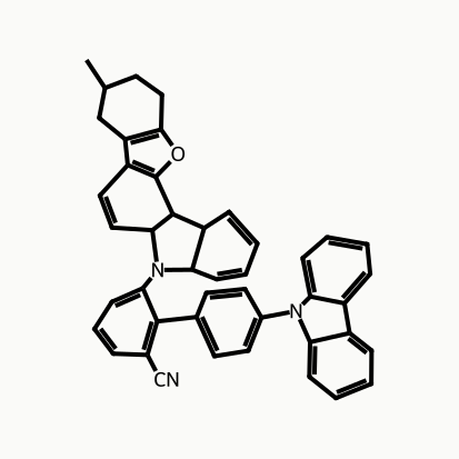 CC1CCc2oc3c(c2C1)C=CC1C3C2C=CC=CC2N1c1cccc(C#N)c1-c1ccc(-n2c3ccccc3c3ccccc32)cc1